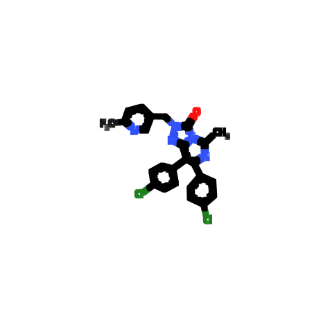 Cc1nc(-c2ccc(Cl)cc2)c(-c2ccc(Cl)cc2)c2nn(Cc3ccc(C(F)(F)F)nc3)c(=O)n12